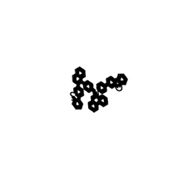 c1ccc2c(-c3ccc(N(c4ccc(-c5ccc6c(c5)oc5ccccc56)cc4)c4cc5ccccc5c5ccccc45)cc3)c(-c3ccc4c(c3)sc3ccccc34)ccc2c1